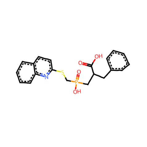 O=C(O)C(Cc1ccccc1)CP(=O)(O)CSc1ccc2ccccc2n1